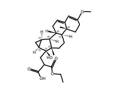 CCOC(=O)C(C[C@]1(O)[C@H]2C[C@H]2[C@H]2[C@@H]3CC=C4C=C(OC)CC[C@]4(C)[C@H]3CC[C@@]21C)C(=O)O